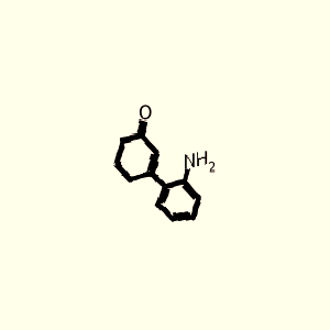 Nc1ccccc1C1=CC(=O)CCC1